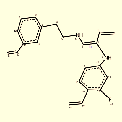 C=C/C(=C\NCCc1cccc(C=C)c1)Nc1ccc(C=C)c(F)c1